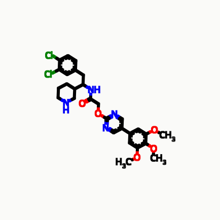 COc1cc(-c2cnc(OCC(=O)NC(Cc3ccc(Cl)c(Cl)c3)C3CCCNC3)nc2)cc(OC)c1OC